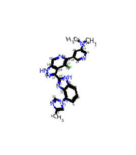 Cc1cn(-c2cccc3[nH]c(-c4n[nH]c5cnc(-c6cncc(N(C)C)c6)c(F)c45)nc23)cn1